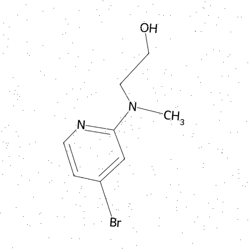 CN(CCO)c1cc(Br)ccn1